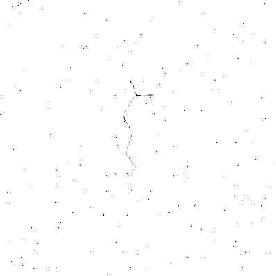 CCOC(=O)C(O)CCCCOC#N